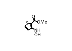 COC(=O)c1sccc1NO